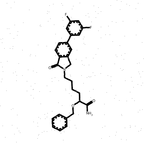 NC(=O)C(CCCCN1Cc2cc(-c3cc(F)cc(F)c3)ccc2C1=O)OCc1ccccc1